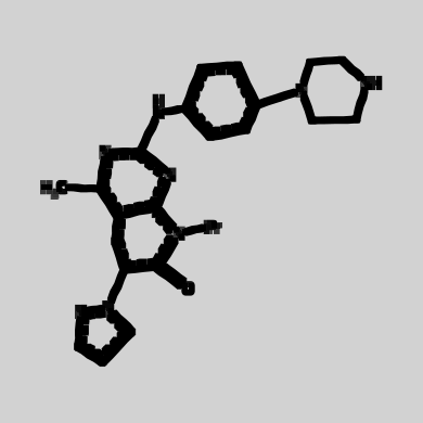 Cc1nc(Nc2ccc(N3CCNCC3)cc2)nc2c1cc(-n1cccn1)c(=O)n2C(C)C